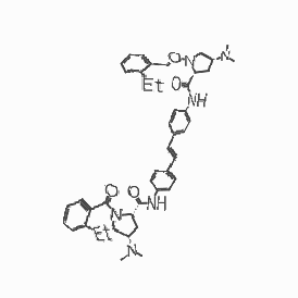 CCc1ccccc1CON1C[C@@H](N(C)C)C[C@H]1C(=O)Nc1ccc(/C=C/c2ccc(NC(=O)[C@@H]3C[C@H](N(C)C)CN3C(=O)c3ccccc3CC)cc2)cc1